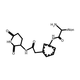 CCCCCCCCCC(N)C(=O)Nc1cccc(CC(=O)NC2CCC(=O)NC2=O)c1